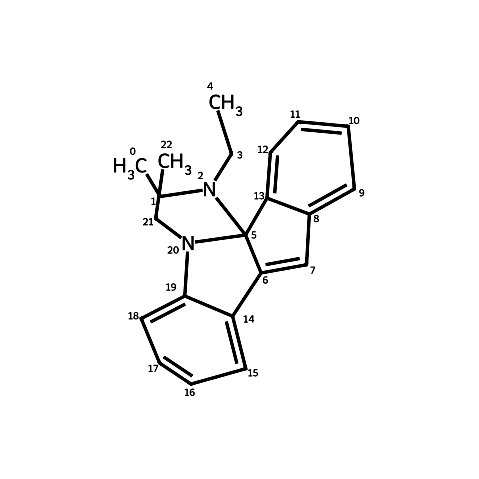 CCN(CC)C12C(=Cc3ccccc31)c1ccccc1N2CC